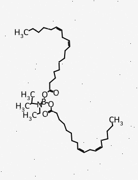 CCCCC/C=C\C/C=C\CCCCCCCC(=O)OB(OC(=O)CCCCCCC/C=C\C/C=C\CCCCC)N(CC)C(C)C